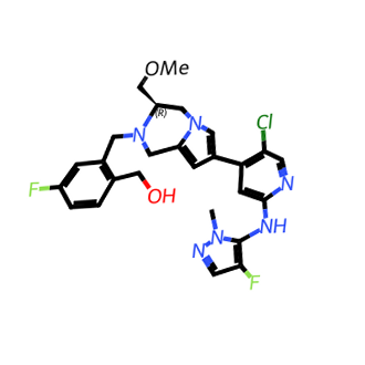 COC[C@H]1Cn2cc(-c3cc(Nc4c(F)cnn4C)ncc3Cl)cc2CN1Cc1cc(F)ccc1CO